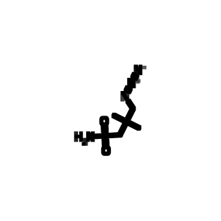 CC(C)(CN=[N+]=[N-])CS(N)(=O)=O